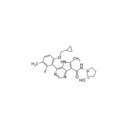 Cc1ccc(OCC2CC2)c(-c2ncnc3c(C(=O)N[C@@H]4CCC[C@@H]4O)c(C)[nH]c23)c1F